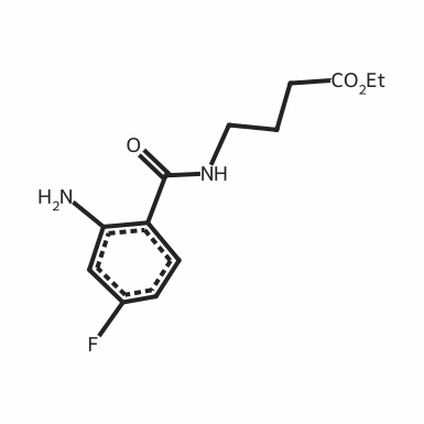 CCOC(=O)CCCNC(=O)c1ccc(F)cc1N